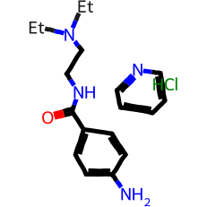 CCN(CC)CCNC(=O)c1ccc(N)cc1.Cl.c1ccncc1